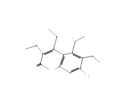 CCc1c(N)cc2oc(=O)c(CC)c(CC)c2c1CC